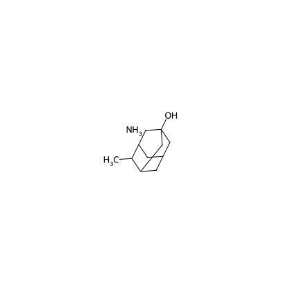 CC1C2CC3CC1CC(O)(C3)C2.N